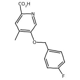 Cc1cc(C(=O)O)ncc1OCc1ccc(F)cc1